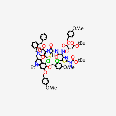 CCn1cc(C[N+]2(CC3=C(C(=O)OC(c4ccccc4)c4ccccc4)N4C(=O)[C@@H](NC(=O)C(=NO[C@@H](CC(=O)OC(C)(C)C)C(=O)OCc5ccc(OC)cc5)c5nc(NC(=O)OC(C)(C)C)sc5Cl)[C@H]4SC3)CCCC2)c(=O)c2c(Cl)c(OCc3ccc(OC)cc3)c(OCc3ccc(OC)cc3)cc21